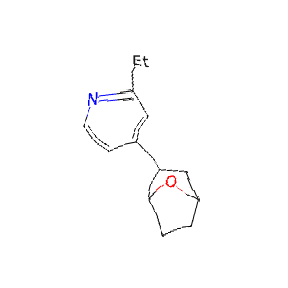 CCc1cc(C2CC3CCC2O3)ccn1